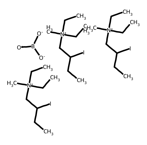 CCC(I)C[N+](C)(CC)CC.CCC(I)C[N+](C)(CC)CC.CCC(I)C[N+](C)(CC)CC.[O-]B([O-])[O-]